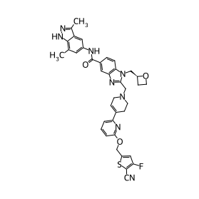 Cc1n[nH]c2c(C)cc(NC(=O)c3ccc4c(c3)nc(CN3CC=C(c5cccc(OCc6cc(F)c(C#N)s6)n5)CC3)n4C[C@@H]3CCO3)cc12